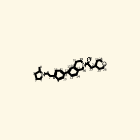 CC1CCCN1CCc1ccc(-c2ccc3c(c2)CCN(C(=O)CC2CCOCC2)C3)cc1